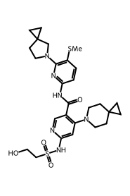 CSc1ccc(NC(=O)c2cnc(NS(=O)(=O)CCO)cc2N2CCC3(CC2)CC3)nc1N1CCC2(CC2)C1